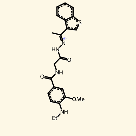 CCNc1ccc(C(=O)NCC(=O)N/N=C(\C)c2csc3ccccc23)cc1OC